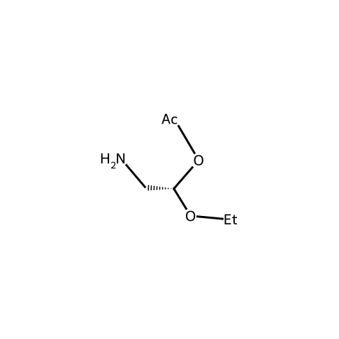 CCO[C@H](CN)OC(C)=O